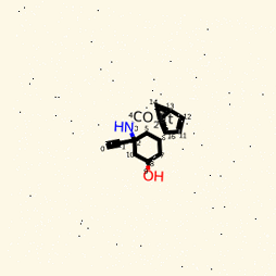 C#CC1(NC(=O)OCC)CCCC(O)C1.c1cc2cc-2c1